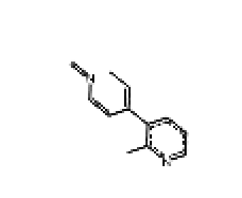 C=N/C=C\C(=C/C)c1cccnc1C